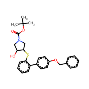 CC(C)(C)OC(=O)N1CC(O)C(Sc2ccccc2-c2ccc(OCc3ccccc3)cc2)C1